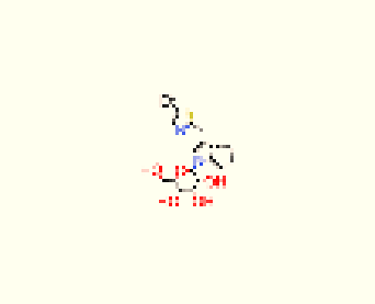 CCc1cnc(Cc2cn([C@@H]3O[C@H](CO)[C@@H](O)[C@H](O)[C@H]3O)c3ccccc23)s1